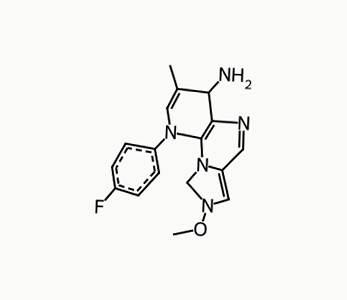 CON1C=C2C=NC3=C(N2C1)N(c1ccc(F)cc1)C=C(C)C3N